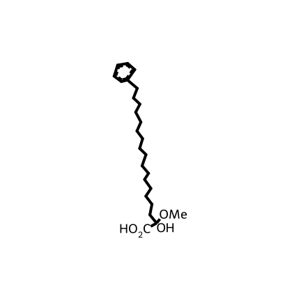 COC(O)(CCCCCCCCCCCCCCCCc1ccccc1)C(=O)O